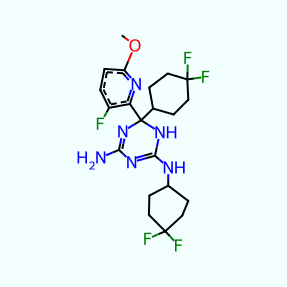 COc1ccc(F)c(C2(C3CCC(F)(F)CC3)N=C(N)N=C(NC3CCC(F)(F)CC3)N2)n1